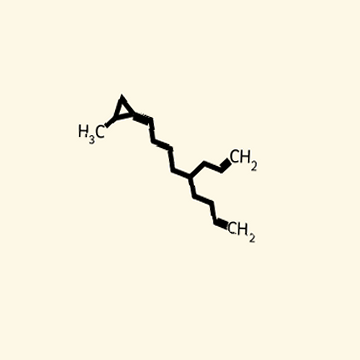 C=CCCC(CC=C)CCCC=C1CC1C